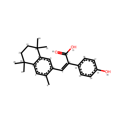 Cc1cc2c(cc1C=C(C(=O)O)c1ccc(O)cc1)C(C)(C)CCC2(C)C